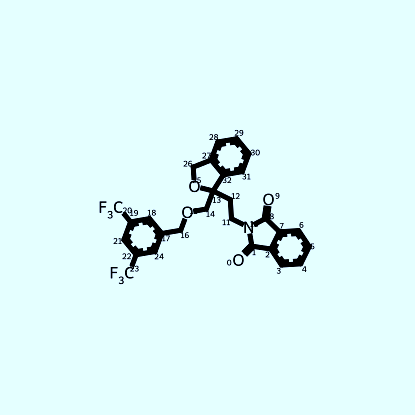 O=C1c2ccccc2C(=O)N1CCC1(COCc2cc(C(F)(F)F)cc(C(F)(F)F)c2)OCc2ccccc21